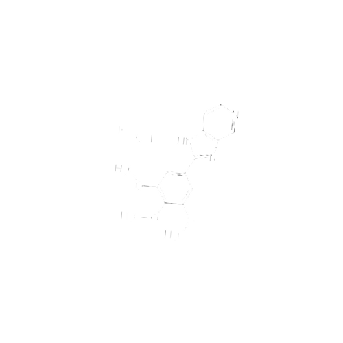 COc1cc(-c2nc3cnccc3[nH]2)cc(OC)c1OC.Cl.Cl